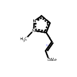 CO/C=C/c1ccnn1C